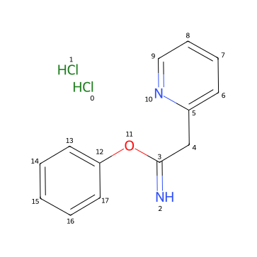 Cl.Cl.N=C(Cc1ccccn1)Oc1ccccc1